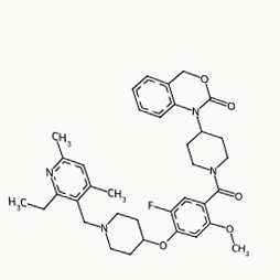 CCc1nc(C)cc(C)c1CN1CCC(Oc2cc(OC)c(C(=O)N3CCC(N4C(=O)OCc5ccccc54)CC3)cc2F)CC1